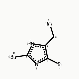 CCCCc1nc(Br)c(CO)[nH]1